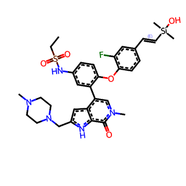 CCS(=O)(=O)Nc1ccc(Oc2ccc(/C=C/[Si](C)(C)O)cc2F)c(-c2cn(C)c(=O)c3[nH]c(CN4CCN(C)CC4)cc23)c1